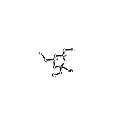 CCC[Si]1(OCC)O[SiH](OCC)O[SiH](OCC)O1